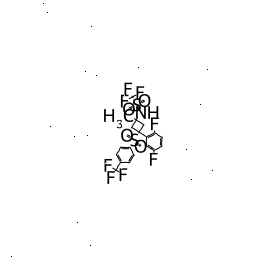 CC1(NS(=O)(=O)C(F)(F)F)CC(c2cc(F)ccc2F)(S(=O)(=O)c2ccc(C(F)(F)F)cc2)C1